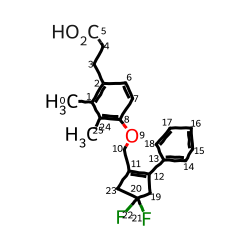 Cc1c(CCC(=O)O)ccc(OCC2=C(c3ccccc3)CC(F)(F)C2)c1C